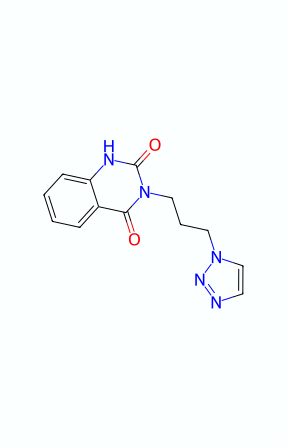 O=c1[nH]c2ccccc2c(=O)n1CCCn1ccnn1